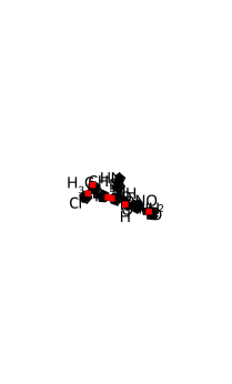 CC1(C)CCC(CN2CC=C(c3ccc(C(=O)NS(=O)(=O)c4ccc(NCC5CCOCC5)c([N+](=O)[O-])c4)c(Nc4cnc5[nH]ccc5c4)c3)CC2)=C(c2ccc(Cl)cc2)C1